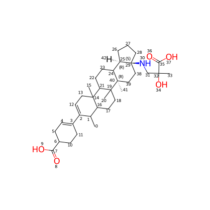 CC1C(C2=CCC(C(=O)O)CC2)=CCC2(C)C1CCC1(C)C2CCC2[C@H]3CCC[C@]3(NCC(C)(O)C(=O)O)CC[C@]21C